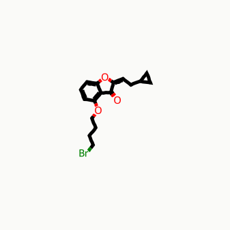 O=C1C(=CCC2CC2)Oc2cccc(OCCCCBr)c21